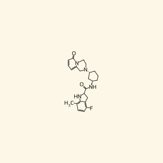 Cc1ccc(F)c2c1NC(C(=O)N[C@@H]1CCC[C@@H](N3CCn4c(cccc4=O)C3)C1)C2